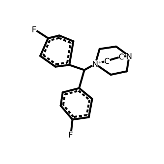 Fc1ccc(C(c2ccc(F)cc2)[N+]23CCN(CC2)CC3)cc1